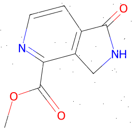 COC(=O)c1nccc2c1CNC2=O